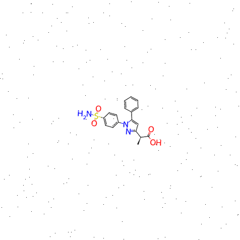 C[C@H](C(=O)O)c1cc(-c2ccccc2)n(-c2ccc(S(N)(=O)=O)cc2)n1